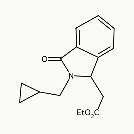 CCOC(=O)CC1c2ccccc2C(=O)N1CC1CC1